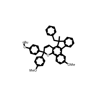 CCCCOc1ccc(C2(c3ccc(OC)cc3)C=Cc3c4c(c5cc(OC)ccc5c3O2)-c2ccccc2C4(C)Cc2ccccc2)cc1